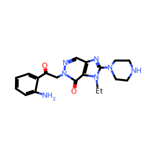 CCn1c(N2CCNCC2)nc2cnn(CC(=O)c3ccccc3N)c(=O)c21